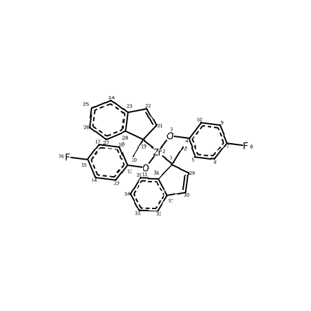 C[C]1([Zr]([O]c2ccc(F)cc2)([O]c2ccc(F)cc2)[C]2(C)C=Cc3ccccc32)C=Cc2ccccc21